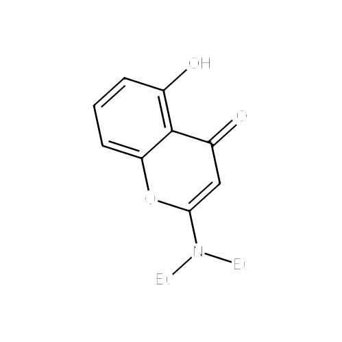 CCN(CC)c1cc(=O)c2c(O)cccc2o1